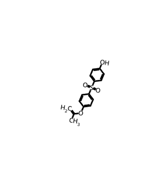 C=C(C)Oc1ccc(S(=O)(=O)c2ccc(O)cc2)cc1